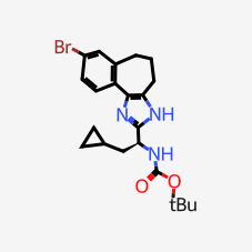 CC(C)(C)OC(=O)N[C@@H](CC1CC1)c1nc2c([nH]1)CCCc1cc(Br)ccc1-2